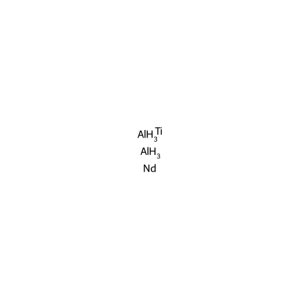 [AlH3].[AlH3].[Nd].[Ti]